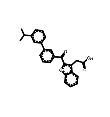 CC(C)c1cccc(-c2cccc(C(=O)c3oc4ccccc4c3CC(=O)O)c2)c1